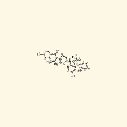 CCN1CCN(C(=O)c2c(C)[nH]c3cc(Nc4ncc(Cl)c(Nc5ccccc5NS(C)(=O)=O)n4)ccc23)CC1